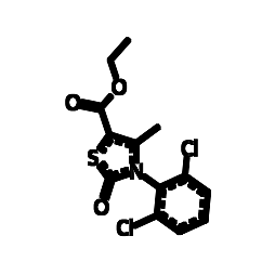 CCOC(=O)c1sc(=O)n(-c2c(Cl)cccc2Cl)c1C